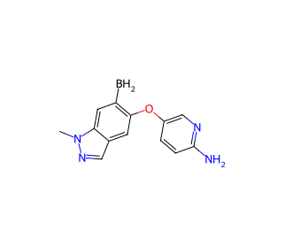 Bc1cc2c(cnn2C)cc1Oc1ccc(N)nc1